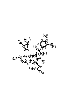 CCOc1cc(C(Nc2ccc(C(=N)N)cc2)C(=O)NNC(=O)c2ccc(Cl)nc2)ccc1OC(C)C.O=C(O)C(F)(F)F